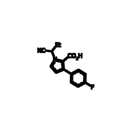 CCC(C#N)n1ccc(-c2ccc(F)cc2)c1C(=O)O